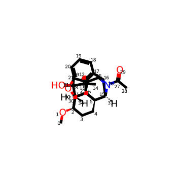 CO[C@]12CC[C@@]3(C[C@@H]1C(C)(O)C(C)(C)C)[C@H]1Cc4cccc5c4[C@@]3(CCN1C(C)=O)[C@H]2O5